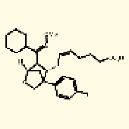 CON=C(C1CCCCC1)[C@@H]1[C@@H]2C[C@@](c3ccc(F)cc3)(CO2)[C@H]1C/C=C\CCCC(=O)O